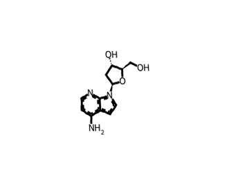 Nc1ccnc2c1ccn2[C@H]1C[C@H](O)[C@@H](CO)O1